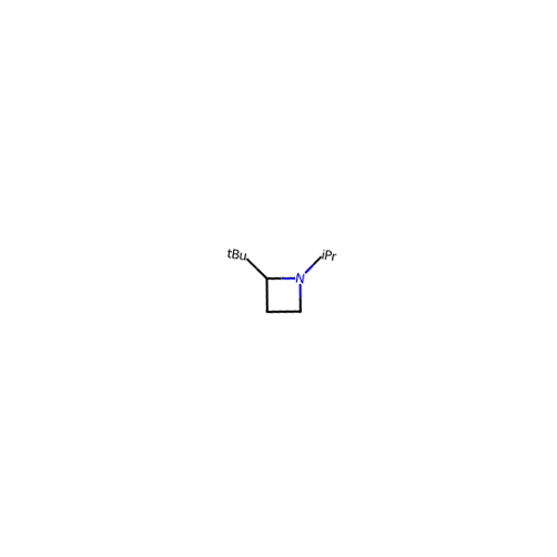 CC(C)N1CCC1C(C)(C)C